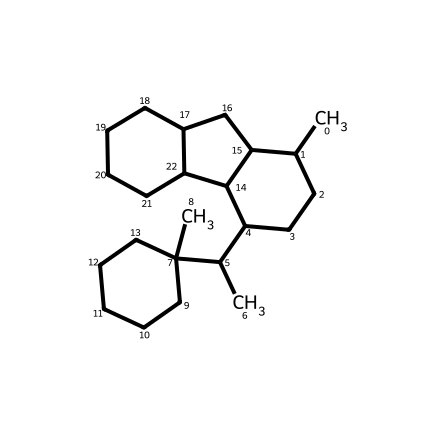 CC1CCC(C(C)C2(C)CCCCC2)C2C1CC1CCCCC12